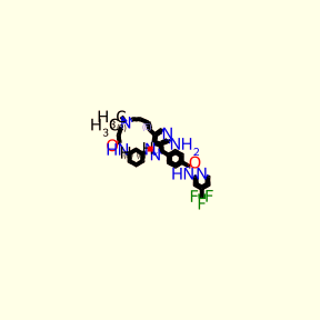 C[C@@H]1CC(=O)N[C@@H]2CCC[C@H](C2)n2nc(-c3ccc(C(=O)Nc4cc(C(F)(F)F)ccn4)cc3)c3c(N)ncc(c32)/C=C/CCN1C